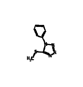 CSc1nnnn1-c1ccccc1